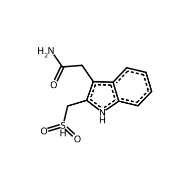 NC(=O)Cc1c(C[SH](=O)=O)[nH]c2ccccc12